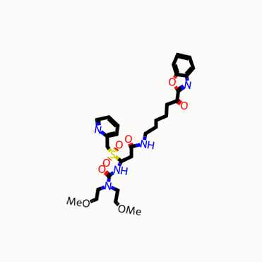 COCCN(CCOC)C(=O)NC(CC(=O)NCCCCCC(=O)c1nc2ccccc2o1)S(=O)(=O)Cc1ccccn1